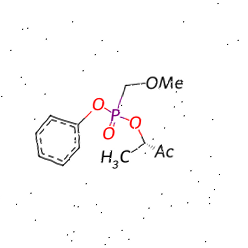 COCP(=O)(Oc1ccccc1)O[C@@H](C)C(C)=O